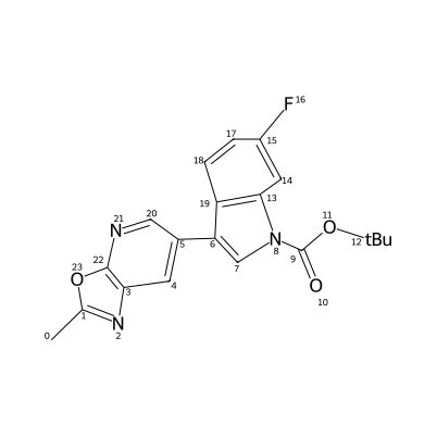 Cc1nc2cc(-c3cn(C(=O)OC(C)(C)C)c4cc(F)ccc34)cnc2o1